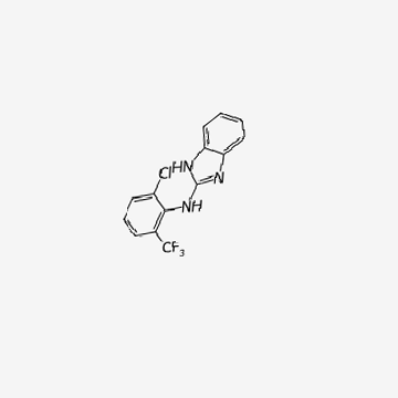 FC(F)(F)c1cccc(Cl)c1Nc1nc2ccccc2[nH]1